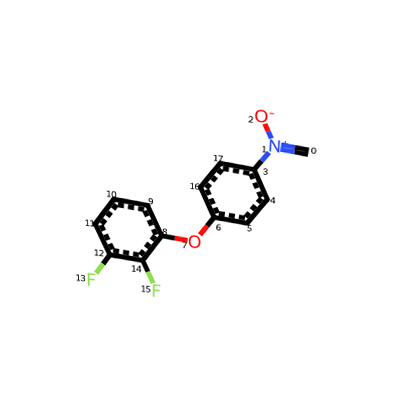 C=[N+]([O-])c1ccc(Oc2cccc(F)c2F)cc1